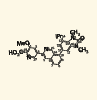 COc1cc(-c2cc3cccc(-c4cc(C(C)C)c5c(c4)n(C)c(=O)n5C)c3cn2)cnc1C(=O)O